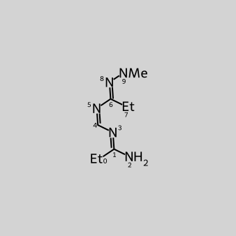 CC\C(N)=N/C=N\C(CC)=N\NC